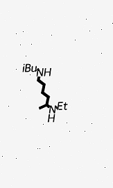 CCNC(C)CCCCNC(C)CC